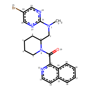 CN(CC1CCCCN1C(=O)c1nccc2ccccc12)c1ncc(Br)cn1